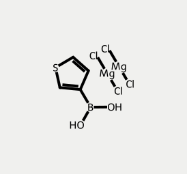 OB(O)c1ccsc1.[Cl][Mg][Cl].[Cl][Mg][Cl]